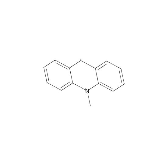 CN1c2ccccc2[CH]c2ccccc21